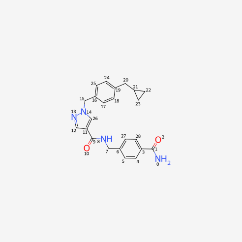 NC(=O)c1ccc(CNC(=O)c2cnn(Cc3ccc(CC4CC4)cc3)c2)cc1